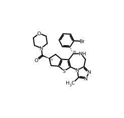 Cc1nnc2n1-c1sc3c(c1[C@H](c1ccccc1Br)NC2)C[C@H](C(=O)N1CCOCC1)C3